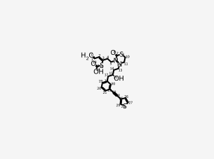 C=C/C=C(/CCN1C(=O)SCCN1CC[C@@H](O)Cc1cccc(C#Cc2ccsc2)c1)SC(=O)O